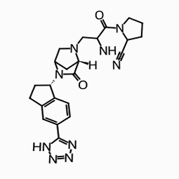 N#CC1CCCN1C(=O)C(N)CN1CC2C[C@H]1C(=O)N2[C@H]1CCc2cc(-c3nnn[nH]3)ccc21